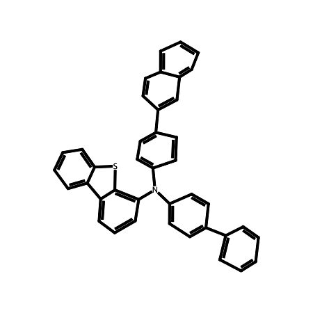 c1ccc(-c2ccc(N(c3ccc(-c4ccc5ccccc5c4)cc3)c3cccc4c3sc3ccccc34)cc2)cc1